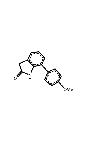 COc1ccc(-c2cccc3c2NC(=O)C3)cc1